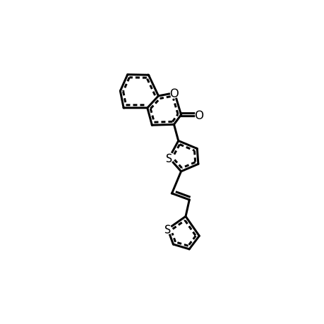 O=c1oc2ccccc2cc1-c1ccc(/C=C/c2cccs2)s1